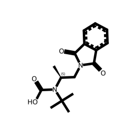 C[C@@H](CN1C(=O)c2ccccc2C1=O)N(C(=O)O)C(C)(C)C